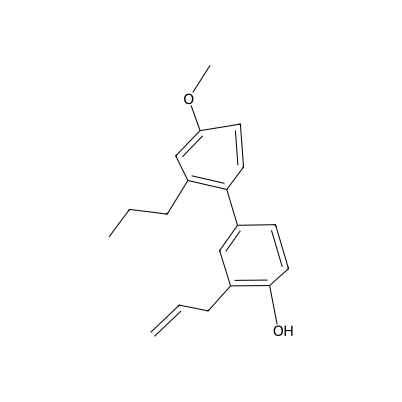 C=CCc1cc(-c2ccc(OC)cc2CCC)ccc1O